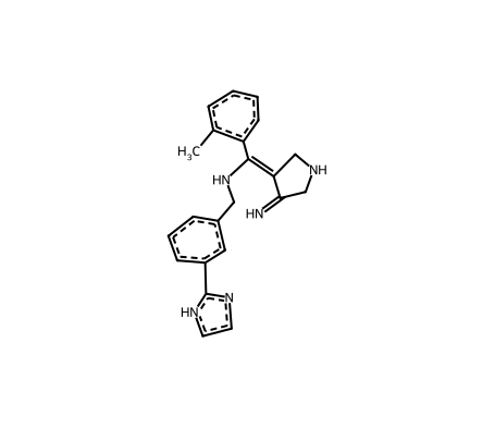 Cc1ccccc1/C(NCc1cccc(-c2ncc[nH]2)c1)=C1\CNCC1=N